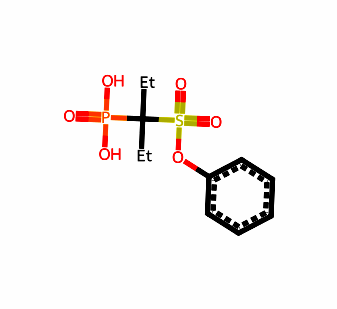 CCC(CC)(P(=O)(O)O)S(=O)(=O)Oc1ccccc1